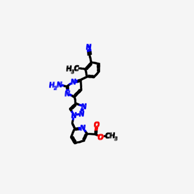 COC(=O)c1cccc(Cn2cc(-c3cc(-c4cccc(C#N)c4C)nc(N)n3)nn2)n1